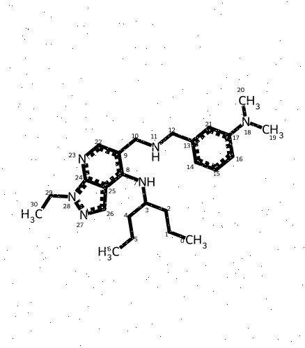 CCCC(CCC)Nc1c(CNCc2cccc(N(C)C)c2)cnc2c1cnn2CC